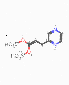 O=S(=O)(O)OC(=CCc1cnccn1)OS(=O)(=O)O